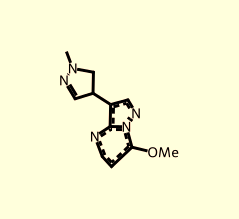 COc1ccnc2c(C3C=NN(C)C3)cnn12